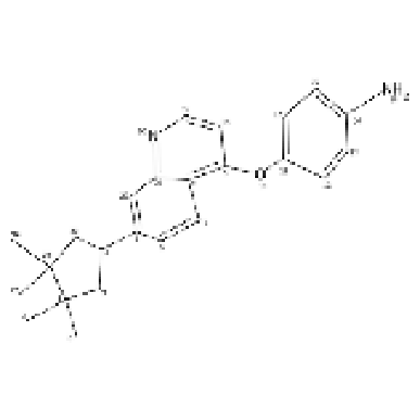 CC1(C)CC(c2ccc3c(Oc4ccc(N)cc4)ccnc3c2)CC1(C)C